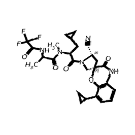 CC(NC(=O)C(F)(F)F)C(=O)N(C)C(CC1CC1)C(=O)N1C[C@@]2(C[C@H]1C#N)Oc1c(cccc1C1CC1)NC2=O